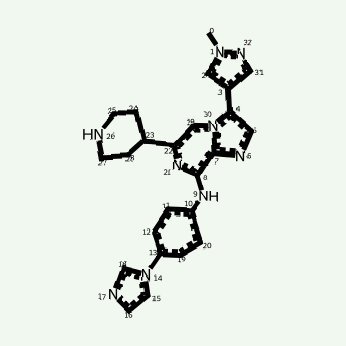 Cn1cc(-c2cnc3c(Nc4ccc(-n5ccnc5)cc4)nc(C4CCNCC4)cn23)cn1